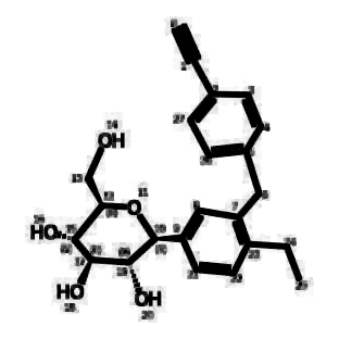 C#Cc1ccc(Cc2cc([C@@H]3O[C@H](CO)[C@@H](O)[C@H](O)[C@H]3O)ccc2CC)cc1